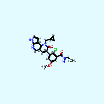 CCNC(=O)c1cc(OC)cc(-c2cc3cnc4[nH]ccc4c3n(CC3CC3)c2=O)c1Cl